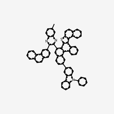 Cc1ccc2nc(-c3ccc4ccc5ccccc5c4c3)c(-c3cc4ccc(-c5ccc6c(c5)c5ccccc5n6-c5ccccc5)cc4c4c5ccccc5c5c(sc6ccc7ccccc7c65)c34)nc2c1